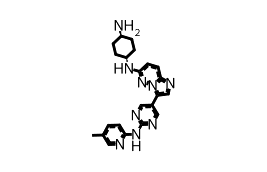 Cc1ccc(Nc2ncc(-c3cnc4ccc(N[C@H]5CC[C@H](N)CC5)nn34)cn2)nc1